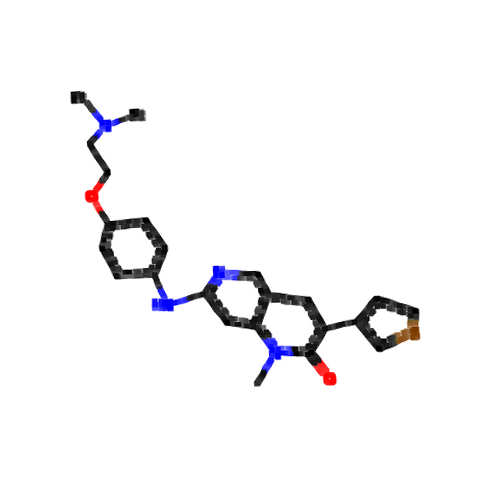 CCN(CC)CCOc1ccc(Nc2cc3c(cn2)cc(-c2ccsc2)c(=O)n3C)cc1